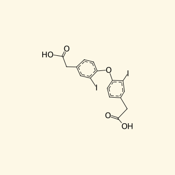 O=C(O)Cc1ccc(Oc2ccc(CC(=O)O)cc2I)c(I)c1